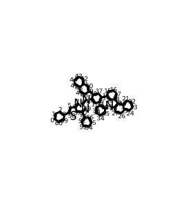 c1ccc(-c2cc3nc(-n4c5ccc(-c6cccc7c8c9ccccc9ccc8n(-c8ccccc8)c67)cc5c5cc6ccccc6cc54)nc(-c4ccccc4)c3s2)cc1